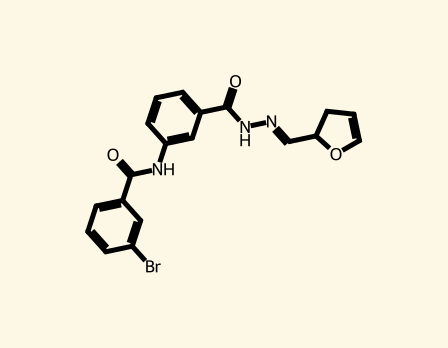 O=C(N/N=C/C1CC=CO1)c1cccc(NC(=O)c2cccc(Br)c2)c1